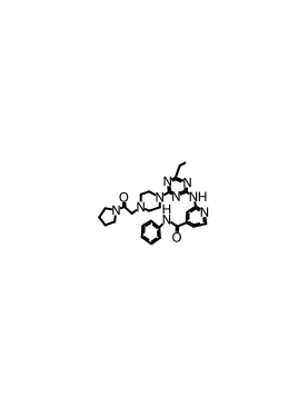 CCc1nc(Nc2cc(C(=O)Nc3ccccc3)ccn2)nc(N2CCN(CC(=O)N3CCCC3)CC2)n1